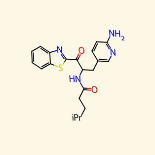 CC(C)CCC(=O)NC(Cc1ccc(N)nc1)C(=O)c1nc2ccccc2s1